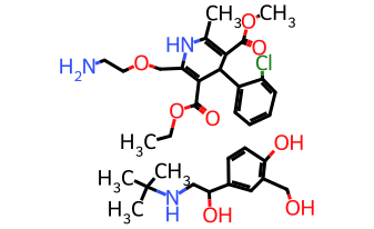 CC(C)(C)NCC(O)c1ccc(O)c(CO)c1.CCOC(=O)C1=C(COCCN)NC(C)=C(C(=O)OC)C1c1ccccc1Cl